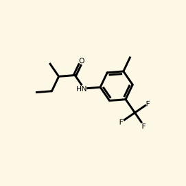 CCC(C)C(=O)Nc1cc(C)cc(C(F)(F)F)c1